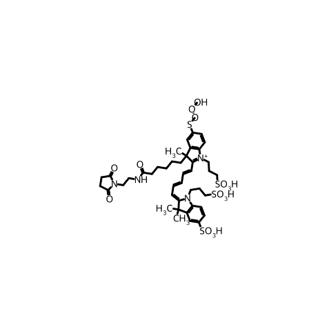 CC1(CCCCCC(=O)NCCN2C(=O)CCC2=O)C(/C=C/C=C/C=C2\N(CCCS(=O)(=O)O)c3ccc(S(=O)(=O)O)cc3C2(C)C)=[N+](CCCS(=O)(=O)O)c2ccc(SOOO)cc21